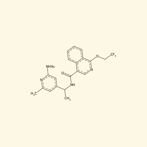 CC(=O)Nc1cc(C(C)NC(=O)c2cnc(OCC(F)(F)F)c3ccccc23)cc(C)n1